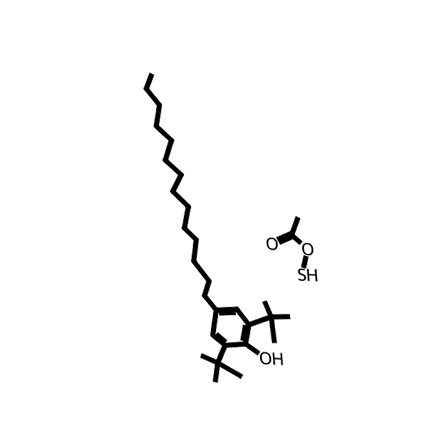 CC(=O)OS.CCCCCCCCCCCCCCc1cc(C(C)(C)C)c(O)c(C(C)(C)C)c1